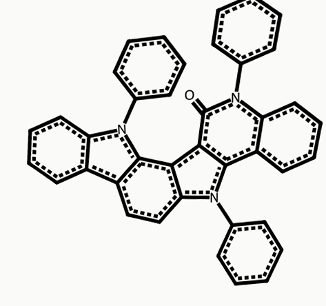 O=c1c2c3c(ccc4c5ccccc5n(-c5ccccc5)c43)n(-c3ccccc3)c2c2ccccc2n1-c1ccccc1